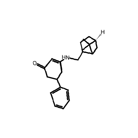 CC1(C)C2C[C@@H]1CCC2CNC1=CC(=O)CC(c2ccccc2)C1